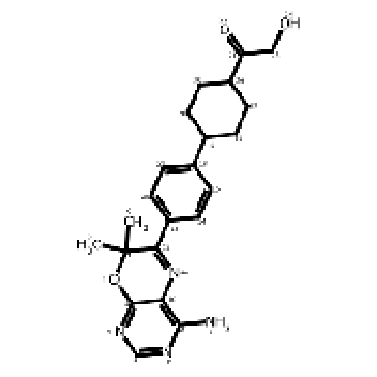 CC1(C)Oc2ncnc(N)c2N=C1c1ccc(C2CCC(C(=O)CO)CC2)cc1